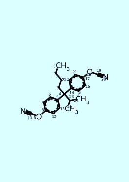 CCCCC(c1ccc(OC#N)cc1)(c1ccc(OC#N)cc1)C(C)C